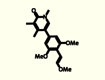 CO/C=C/c1c(OC)cc(-c2cn(C)c(=O)c(C)c2C)cc1OC